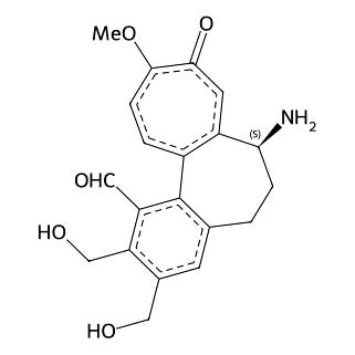 COc1ccc2c(cc1=O)[C@@H](N)CCc1cc(CO)c(CO)c(C=O)c1-2